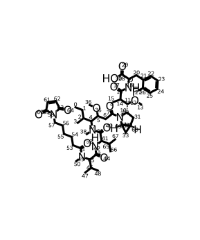 CCC(C)C(C(CC(=O)N1[C@H](C(OC)C(C)C(=O)NC(Cc2ccccc2F)C(=O)O)C[C@@H]2C[C@@H]21)OC)N(C)C(=O)C(NC(=O)C(C(C)C)N(C)C(=O)CCCCCN1C(=O)C=CC1=O)C(C)C